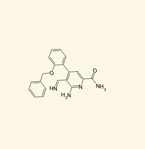 N=Cc1c(-c2ccccc2OCc2ccccc2)cc(C(N)=O)nc1N